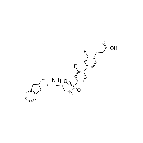 CN(CC(O)CNC(C)(C)CC1Cc2ccccc2C1)S(=O)(=O)c1ccc(-c2ccc(CCC(=O)O)c(F)c2)c(F)c1